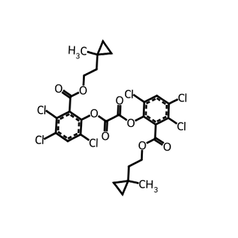 CC1(CCOC(=O)c2c(Cl)c(Cl)cc(Cl)c2OC(=O)C(=O)Oc2c(Cl)cc(Cl)c(Cl)c2C(=O)OCCC2(C)CC2)CC1